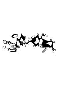 CCn1c(SC)nc2c(ccn2Cc2ccc(C(=O)c3ccc(Cl)cc3)cc2)c1=O